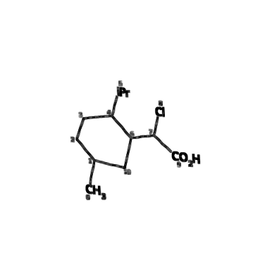 CC1CCC(C(C)C)C(C(Cl)C(=O)O)C1